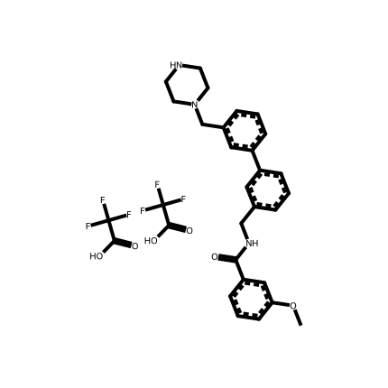 COc1cccc(C(=O)NCc2cccc(-c3cccc(CN4CCNCC4)c3)c2)c1.O=C(O)C(F)(F)F.O=C(O)C(F)(F)F